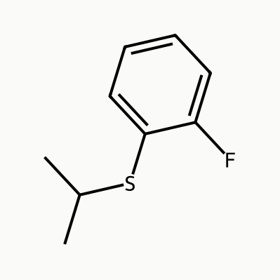 CC(C)Sc1ccccc1F